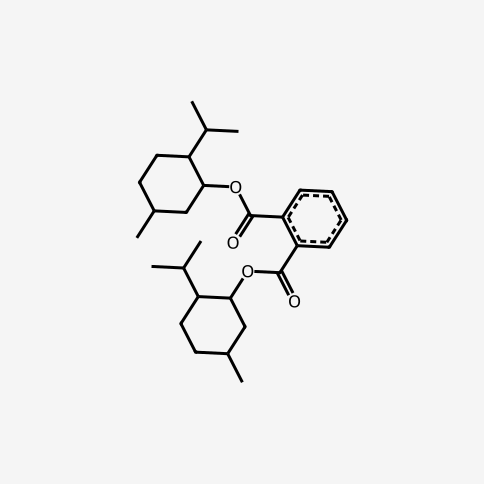 CC1CCC(C(C)C)C(OC(=O)c2ccccc2C(=O)OC2CC(C)CCC2C(C)C)C1